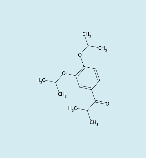 CC(C)Oc1ccc(C(=O)C(C)C)cc1OC(C)C